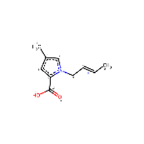 C/C=C/Cn1cc(C)cc1C(=O)O